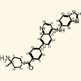 CC1(N)CCN(C(=O)c2ccc(-c3ccc4c(Nc5ccc6scnc6c5)ccnc4c3)cc2)CC1